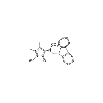 Cc1c(N(CC2c3ccccc3-c3ccccc32)C(=O)O)c(=O)n(C(C)C)n1C